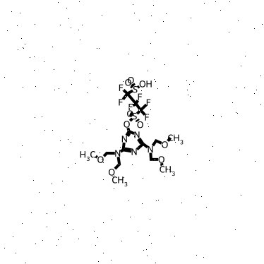 COCN(COC)c1nc(OS(=O)(=O)C(F)(F)C(F)(F)C(F)(F)S(=O)(=O)O)nc(N(COC)COC)n1